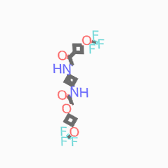 O=C(CO[C@H]1C[C@@H](OC(F)(F)F)C1)NC12CC(NCC(=O)C3CC(OC(F)(F)F)C3)(C1)C2